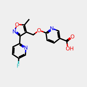 Cc1onc(-c2ccc(F)cn2)c1COc1ccc(C(=O)O)cn1